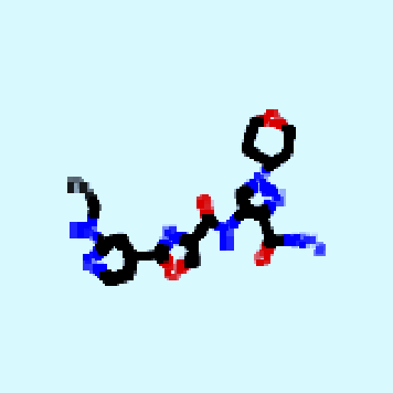 CC(C)CNc1cc(-c2nc(C(=O)Nc3cn(C4CCOCC4)nc3C(N)=O)co2)ccn1